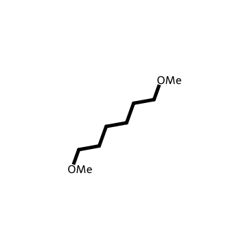 [CH2]OCCCCCCOC